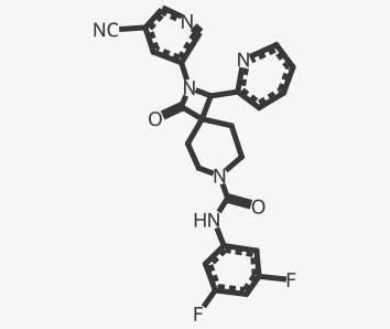 N#Cc1cncc(N2C(=O)C3(CCN(C(=O)Nc4cc(F)cc(F)c4)CC3)C2c2ccccn2)c1